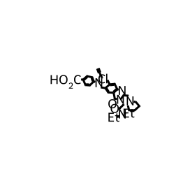 C#CCN(Cc1cc2c(=O)n(CC(=O)N(CC)CC)c(CN3CCCCC3)nc2cc1Cl)c1ccc(C(=O)O)cc1